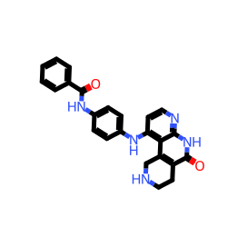 O=C(Nc1ccc(Nc2ccnc3[nH]c(=O)c4c(c23)CNCC4)cc1)c1ccccc1